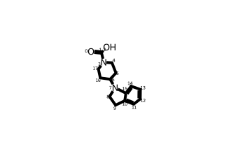 O=C(O)N1CCC(N2CCc3ccccc32)CC1